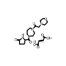 O=C(O)/C=C/C(=O)O.O=C1CCC(C(=O)N2CCCN(C(=O)CN3CCOCC3)CC2)N1